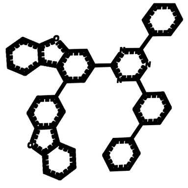 c1ccc(-c2cccc(-c3nc(-c4ccccc4)nc(-c4cc(-c5ccc6oc7ccccc7c6c5)c5c(c4)oc4ccccc45)n3)c2)cc1